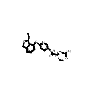 CCC1OCc2cccc(Oc3ccc(NC(=O)[C@@H](CC)NC(=O)O)cn3)c21